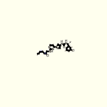 C=C/C=C\C=C(\Cl)CNc1nccc(-n2cc(NC(=O)N[C@H](C)c3cccc(Cl)c3)cn2)n1